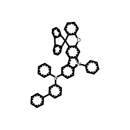 c1ccc(-c2cccc(N(c3ccccc3)c3ccc4c(c3)c3cc5c(cc3n4-c3ccccc3)Oc3ccccc3C53c4ccccc4-c4ccccc43)c2)cc1